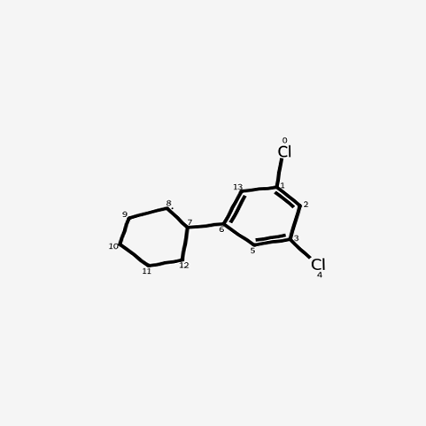 Clc1cc(Cl)cc(C2[CH]CCCC2)c1